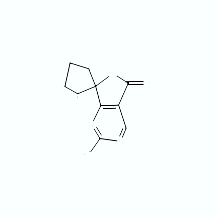 O=C1OC2(CCCC2)c2nc(Cl)ncc21